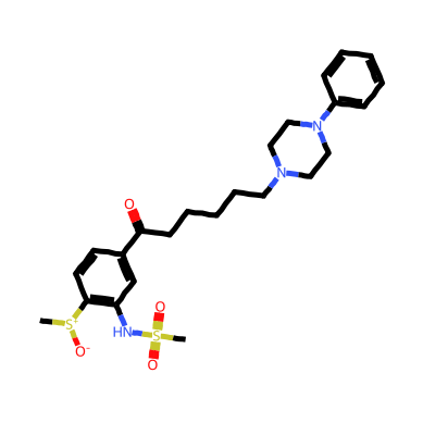 C[S+]([O-])c1ccc(C(=O)CCCCCN2CCN(c3ccccc3)CC2)cc1NS(C)(=O)=O